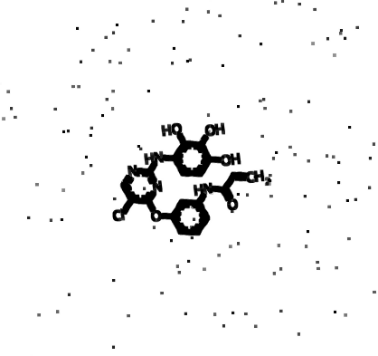 C=CC(=O)Nc1cccc(Oc2nc(Nc3ccc(O)c(O)c3O)ncc2Cl)c1